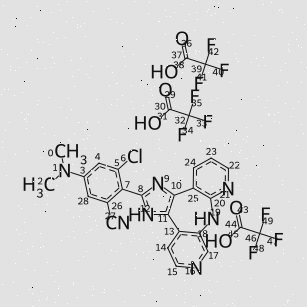 CN(C)c1cc(Cl)c(-c2nc3c([nH]2)-c2ccncc2Nc2ncccc2-3)c(C#N)c1.O=C(O)C(F)(F)F.O=C(O)C(F)(F)F.O=C(O)C(F)(F)F